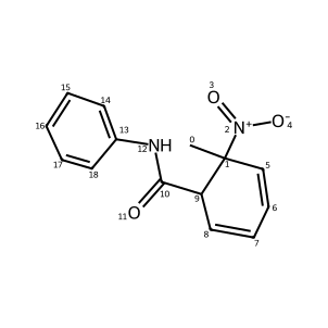 CC1([N+](=O)[O-])C=CC=CC1C(=O)Nc1ccccc1